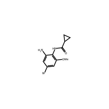 COc1cc(Br)cc(N)c1NC(=O)C1CC1